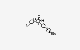 CC(C)(C)N1CCN(c2ccc(-c3nc4c(oc5ccc(Br)cc54)c(=O)[nH]3)cc2)CC1